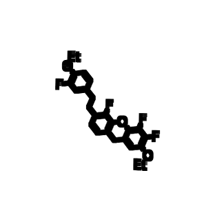 CCOc1ccc(CCc2ccc3c(c2F)Oc2c(cc(OCC)c(F)c2F)C3)cc1F